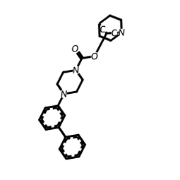 O=C(OC1CC2CCN(CC2)C1)N1CCN(c2cccc(-c3ccccc3)c2)CC1